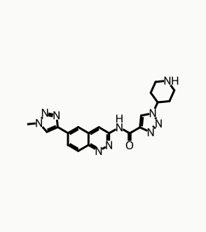 Cn1cc(-c2ccc3nnc(NC(=O)c4cn(C5CCNCC5)nn4)cc3c2)nn1